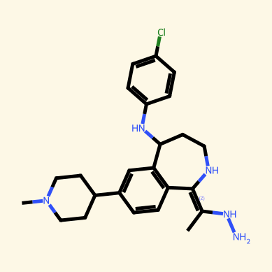 C/C(NN)=C1/NCCC(Nc2ccc(Cl)cc2)c2cc(C3CCN(C)CC3)ccc21